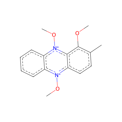 COc1c(C)ccc2c1[n+](OC)c1ccccc1[n+]2OC